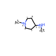 [CH2]CNC1CCN(C(C)=O)CC1